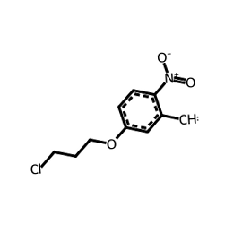 [CH]c1cc(OCCCCl)ccc1[N+](=O)[O-]